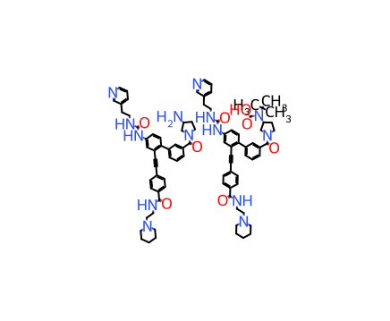 CC(C)(C)N(C(=O)O)C1CCN(C(=O)c2cccc(-c3ccc(NC(=O)NCCc4cccnc4)cc3C#Cc3ccc(C(=O)NCCN4CCCCC4)cc3)c2)C1.NC1CCN(C(=O)c2cccc(-c3ccc(NC(=O)NCCc4cccnc4)cc3C#Cc3ccc(C(=O)NCCN4CCCCC4)cc3)c2)C1